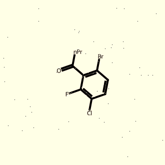 CCCC(=O)c1c(Br)ccc(Cl)c1F